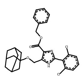 O=C(OCc1ccccc1)c1nc(-c2c(Cl)cccc2Cl)[nH]c1COC12CC3CC(CC(C3)C1)C2